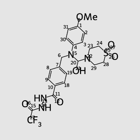 COc1ccc(N(Cc2ccc(C(=O)NNC(=O)C(F)(F)F)cc2)C(O)N2CCS(=O)(=O)CC2)cc1